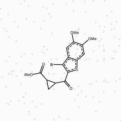 COC(=O)C1CC1C(=O)c1sc2cc(OC)c(OC)cc2c1Br